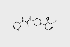 O=C(Nc1cccnc1)NC1CCN(c2nccc(Br)c2Cl)CC1